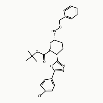 CC(C)(C)OC(=O)N1C[C@H](NOCc2ccccc2)CC[C@H]1c1nnc(-c2ccc(Cl)cc2)o1